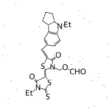 CCN1C(=O)/C(=c2\s/c(=C/c3ccc4c(c3)C3CCCC3N4CC)c(=O)n2COC=O)SC1=S